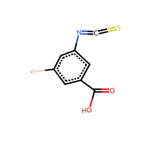 [B]c1cc(N=C=S)cc(C(=O)O)c1